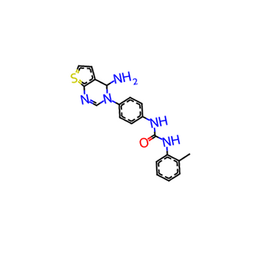 Cc1ccccc1NC(=O)Nc1ccc(N2C=Nc3sccc3C2N)cc1